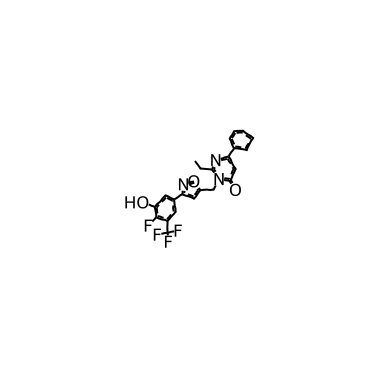 CCc1nc(-c2ccccc2)cc(=O)n1Cc1cc(-c2cc(O)c(F)c(C(F)(F)F)c2)no1